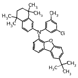 Cc1cc(Cl)cc(N(c2ccc3c(c2)C(C)(C)CCC3(C)C)c2cccc3c2oc2ccc(C(C)(C)C)cc23)c1